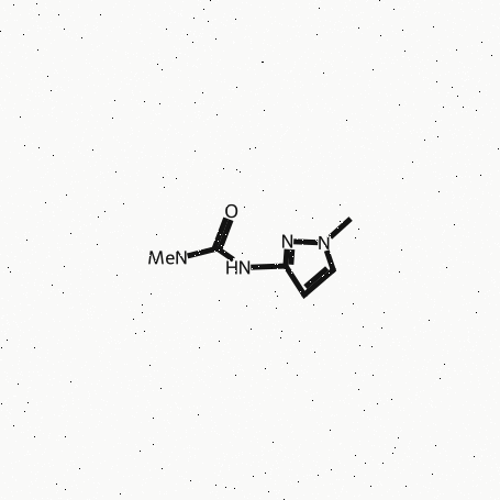 CNC(=O)Nc1ccn(C)n1